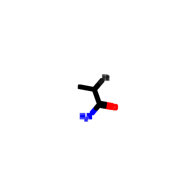 [CH2]CC(C)C(N)=O